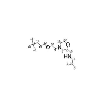 CC(C)CNCC1CN(CCOCCCC(C)(C)C)CCO1